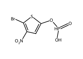 O=[N+]([O-])c1cc(O[PH](=O)O)sc1Br